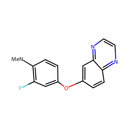 CNc1ccc(Oc2ccc3nccnc3c2)cc1F